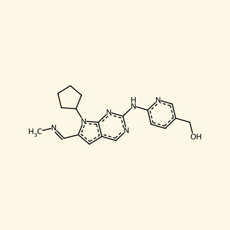 C/N=C/c1cc2cnc(Nc3ccc(CO)cn3)nc2n1C1CCCC1